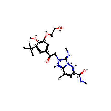 C/N=c1\n(CC(=O)c2cc(OCCO)c(OC)c(C(C)(C)C)c2)nc2c(C)cc(C(=O)NC)nn12